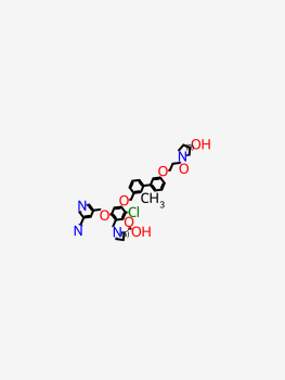 Cc1c(COc2cc(OCc3cncc(C#N)c3)c(CN3CC[C@H]3C(=O)O)cc2Cl)cccc1-c1cccc(OCCC(=O)N2CC[C@@H](O)C2)c1